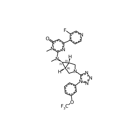 CN(c1nc(-c2ccncc2F)cc(=O)n1C)[C@H]1[C@@H]2CN(c3nnnn3-c3cccc(OC(F)(F)F)c3)C[C@@H]21